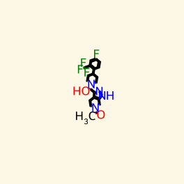 CC(=O)N1CCc2c(C(O)N3CCC(c4ccc(F)cc4C(F)(F)F)CC3)n[nH]c2C1